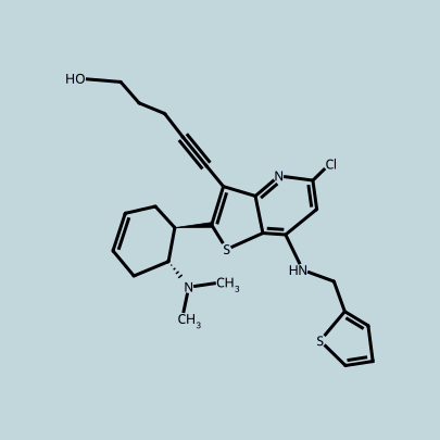 CN(C)[C@@H]1CC=CC[C@H]1c1sc2c(NCc3cccs3)cc(Cl)nc2c1C#CCCCO